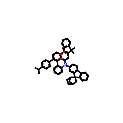 CC(C)c1ccc(-c2ccc(C(C)C)cc2-c2ccccc2N(c2ccc3c(c2)C(C)(C)c2ccccc2-3)c2ccc3c(c2)C2(CC4CCC2C4)c2ccccc2-3)cc1